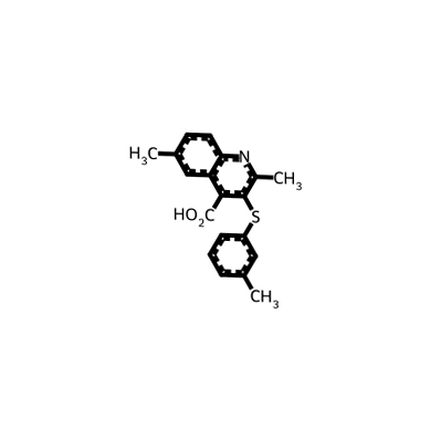 Cc1cccc(Sc2c(C)nc3ccc(C)cc3c2C(=O)O)c1